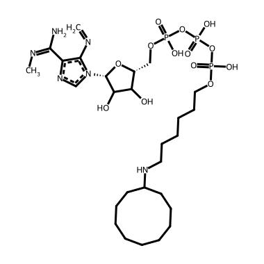 C=Nc1c(/C(N)=N\C)ncn1[C@@H]1O[C@H](COP(=O)(O)OP(=O)(O)OP(=O)(O)OCCCCCCNC2CCCCCCCCC2)C(O)C1O